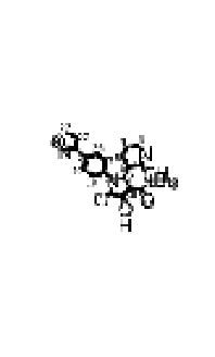 Cc1ncccc1C1C(C(=O)C(C)(C)C)=C(O)C(=O)N1c1ccc(-c2ccon2)cc1